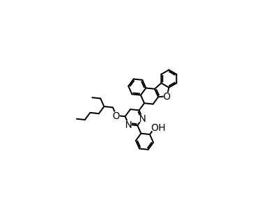 CCCCC(CC)COC1CC(C2Cc3oc4ccccc4c3-c3ccccc32)=NC(C2C=CC=CC2O)=N1